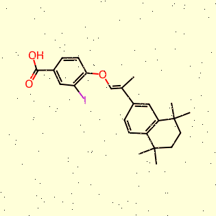 CC(=COc1ccc(C(=O)O)cc1I)c1ccc2c(c1)C(C)(C)CCC2(C)C